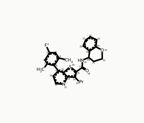 Cc1cc(F)cc(C)c1-c1ccnc2c(C(C)C)c(C(=O)NC3CCOc4ccccc43)sc12